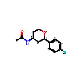 CC(=O)NC1CCOC(c2ccc(F)cc2)C1